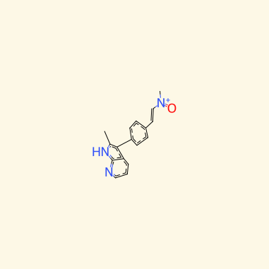 Cc1[nH]c2ncccc2c1-c1ccc(/C=C/[N+](C)=O)cc1